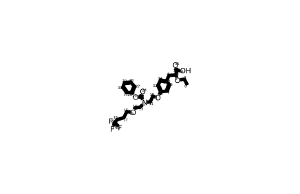 CCOC(Cc1ccc(OCCN(CCOCCCC(F)(F)F)C(=O)Oc2ccccc2)cc1)C(=O)O